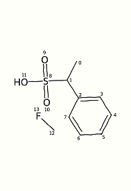 CC(c1ccccc1)S(=O)(=O)O.CF